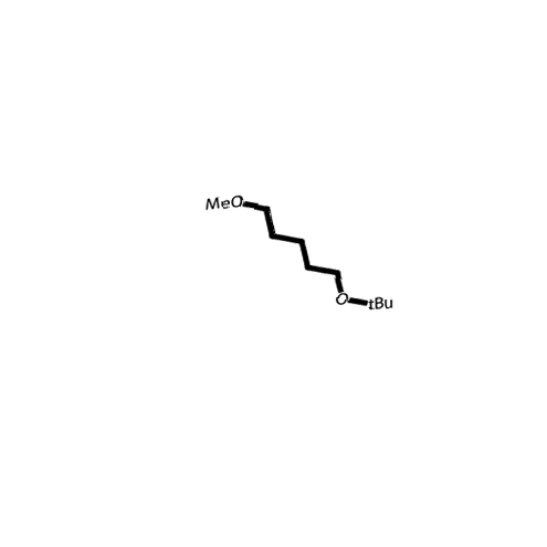 COCCCCCOC(C)(C)C